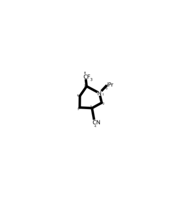 CC(C)N1CC(C#N)CCC1C(F)(F)F